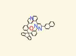 c1ccc(-c2cc(-c3ccc4ccccc4c3)nc(-c3cccc4c3Oc3c(-c5ccncc5)cccc3C43c4ccccc4-c4ccccc43)n2)cc1